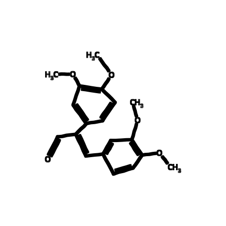 COc1ccc(/C=C(/C=O)c2ccc(OC)c(OC)c2)cc1OC